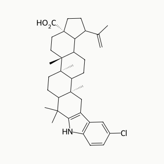 C=C(C)C1CC[C@]2(C(=O)O)CC[C@]3(C)C(CCC4[C@@]5(C)Cc6c([nH]c7ccc(Cl)cc67)C(C)(C)C5CC[C@]43C)C12